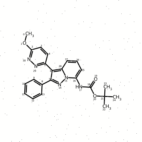 COc1ccc(-c2c(-c3ccccc3)nn3c(NC(=O)OC(C)(C)C)cccc23)nn1